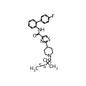 CSSC(C)(C)CN1CCC(c2nc(C(=O)Nc3ccccc3-c3ccc(F)cc3)cs2)CC1